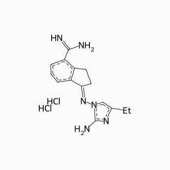 CCc1cn(N=C2CCc3c(C(=N)N)cccc32)c(N)n1.Cl.Cl